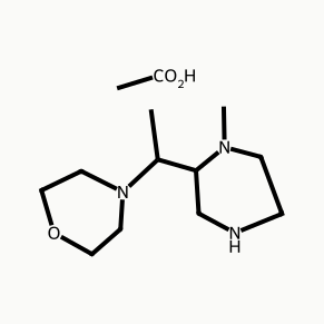 CC(=O)O.CC(C1CNCCN1C)N1CCOCC1